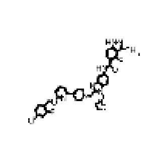 Cc1n[nH]c2ccc(C(=O)Nc3ccc4c(c3)nc(CN3CC=C(c5cccc(OCc6ccc(Cl)cc6F)n5)CC3)n4C[C@@H]3CCO3)c(F)c12